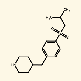 CC(C)CS(=O)(=O)c1ccc(CC2CCNCC2)cc1